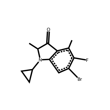 Cc1c(F)c(Br)cc2c1C(=O)C(C)N2C1CC1